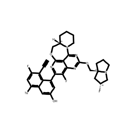 [2H]c1cc(F)c(C#C)c2c(-c3nc4c5c(nc(OC[C@@]67CCCN6C[C@H](F)C7)nc5c3F)N3CCCC[C@H]3CO4)cc(O)cc12